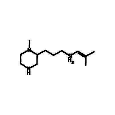 CC(C)=C[SiH2]CCCC1CNCCN1C